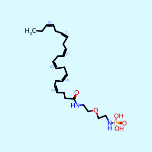 CC/C=C\C/C=C\C/C=C\C/C=C\C/C=C\C/C=C\CCC(=O)NCCOCCNP(=O)(O)O